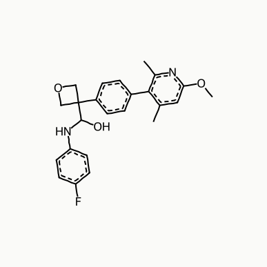 COc1cc(C)c(-c2ccc(C3(C(O)Nc4ccc(F)cc4)COC3)cc2)c(C)n1